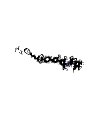 CCCCCC1COC(C2CCC(c3ccc(-c4cc(F)c(/C=C/C(F)(F)Oc5cc(F)c(F)c(F)c5)c(F)c4)c(F)c3)CC2)OC1